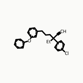 C#CC(CC)(CCCc1cccc(Oc2ccccc2)c1)c1ccc(Cl)cc1